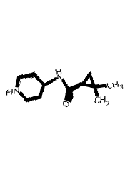 CC1(C)CC1C(=O)NC1CCNCC1